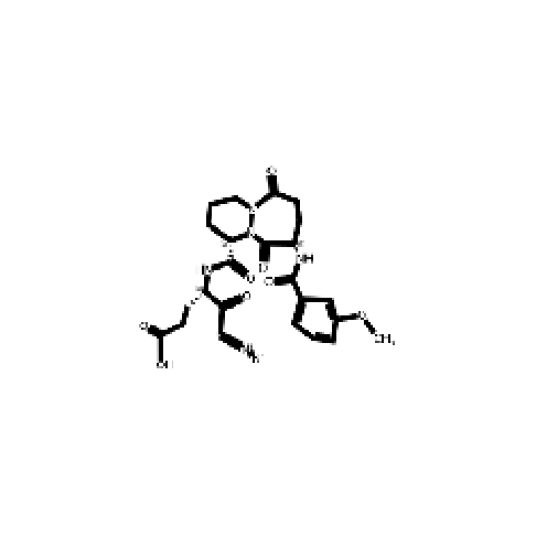 COc1cccc(C(=O)N[C@H]2CCC(=O)N3CCC[C@@H](C(=O)N[C@@H](CCC(=O)O)C(=O)C=[N+]=[N-])N3C2=O)c1